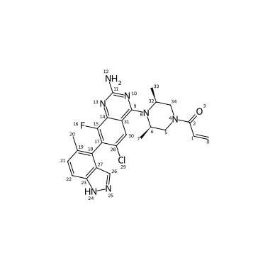 C=CC(=O)N1C[C@@H](C)N(c2nc(N)nc3c(F)c(-c4c(C)ccc5[nH]ncc45)c(Cl)cc23)[C@@H](C)C1